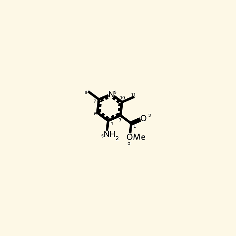 COC(=O)c1c(N)cc(C)nc1C